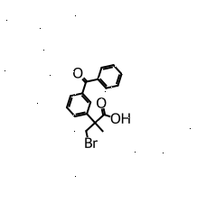 CC(CBr)(C(=O)O)c1cccc(C(=O)c2ccccc2)c1